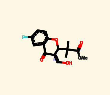 COC(=O)C(C)(C)C1Oc2ccc(F)cc2C(=O)/C1=C/O